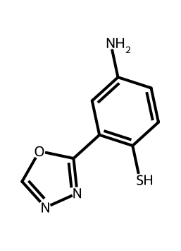 Nc1ccc(S)c(-c2nnco2)c1